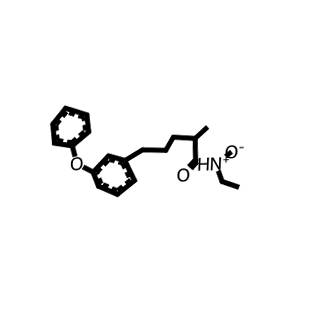 CC[NH+]([O-])C(=O)C(C)CCCc1cccc(Oc2ccccc2)c1